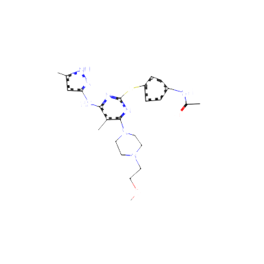 COCCN1CCN(c2nc(Sc3ccc(NC(C)=O)cc3)nc(Nc3cc(C)[nH]n3)c2C)CC1